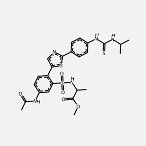 COC(=O)C(C)NS(=O)(=O)c1cc(NC(C)=O)ccc1-c1cnc(-c2ccc(NC(=S)NC(C)C)cc2)s1